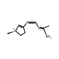 C/C(N)=N\C=N/C1=C[C@H](C)CC1